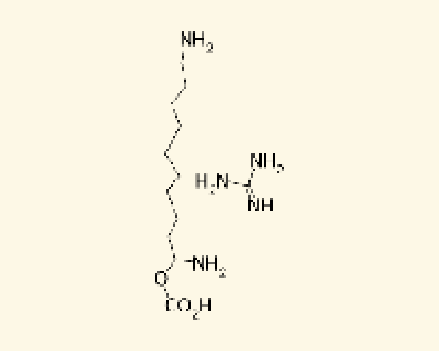 N=C(N)N.NCCCCCCCCCC(N)OC(=O)O